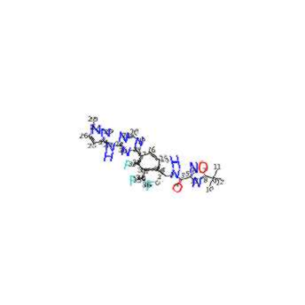 C[C@@H](NC(=O)c1noc(C(C)(C)C)n1)c1ccc(-c2ncnc(Nc3ccn(C)n3)n2)c(F)c1C(F)F